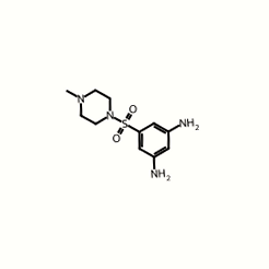 CN1CCN(S(=O)(=O)c2cc(N)cc(N)c2)CC1